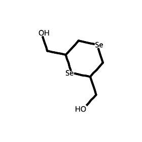 OCC1C[Se]CC(CO)[Se]1